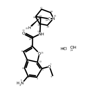 COc1cc(N)cc2cc(C(=O)N[C@H]3CN4CCC3CC4)oc12.Cl.Cl